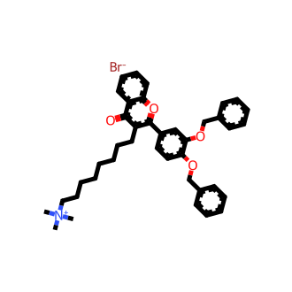 C[N+](C)(C)CCCCCCCCc1c(-c2ccc(OCc3ccccc3)c(OCc3ccccc3)c2)oc2ccccc2c1=O.[Br-]